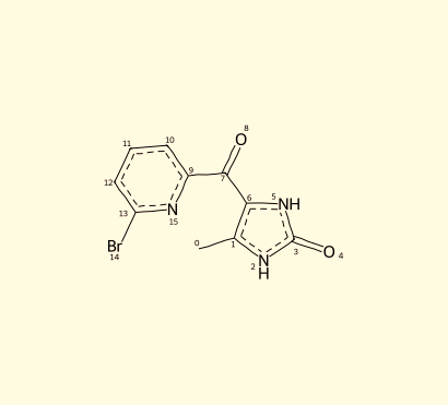 Cc1[nH]c(=O)[nH]c1C(=O)c1cccc(Br)n1